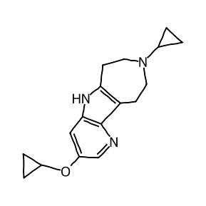 c1nc2c3c([nH]c2cc1OC1CC1)CCN(C1CC1)CC3